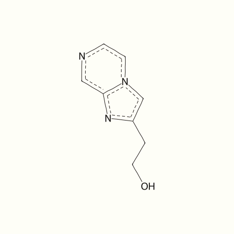 OCCc1cn2ccncc2n1